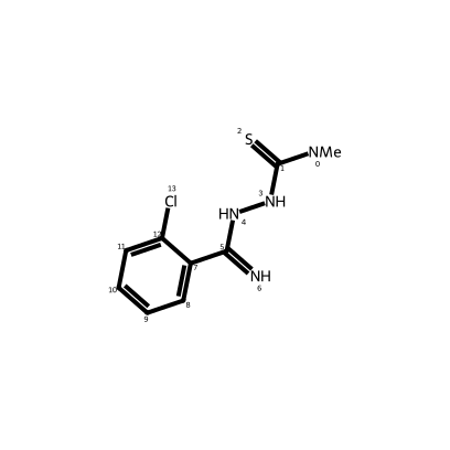 CNC(=S)NNC(=N)c1ccccc1Cl